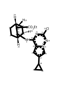 CCOC(=O)[C@H]1[C@H]2CC[C@H](CC2)[C@@H]1Nc1nc(Cl)nn2cc(C3CC3)cc12